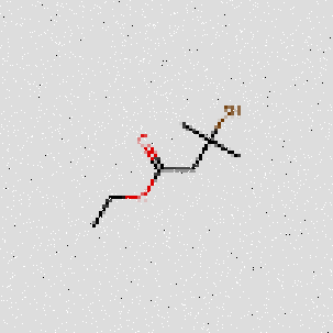 CCOC(=O)CC(C)(C)S